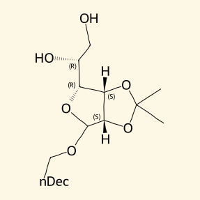 CCCCCCCCCCCOC1O[C@H]([C@H](O)CO)[C@@H]2OC(C)(C)O[C@H]12